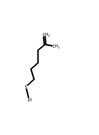 [CH2]CSCCCCC(=C)C